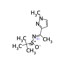 C/C(=N\[S@+]([O-])C(C)(C)C)c1ccn(C)n1